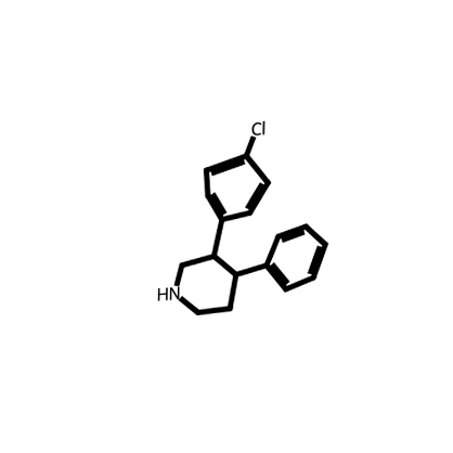 Clc1ccc(C2CNCCC2c2ccccc2)cc1